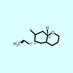 C=CC[C@H]1CC2CCCO[C@H]2CC1I